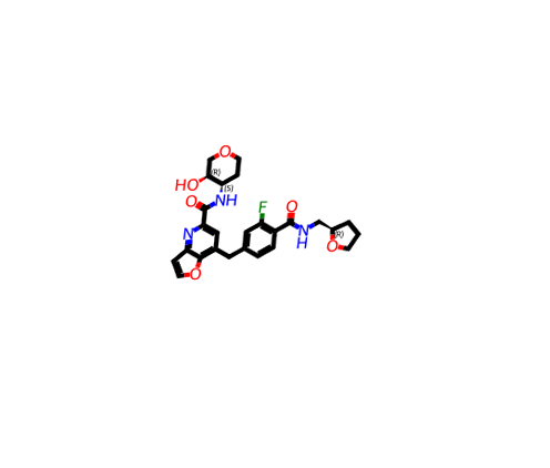 O=C(N[C@H]1CCOC[C@@H]1O)c1cc(Cc2ccc(C(=O)NC[C@H]3CCCO3)c(F)c2)c2occc2n1